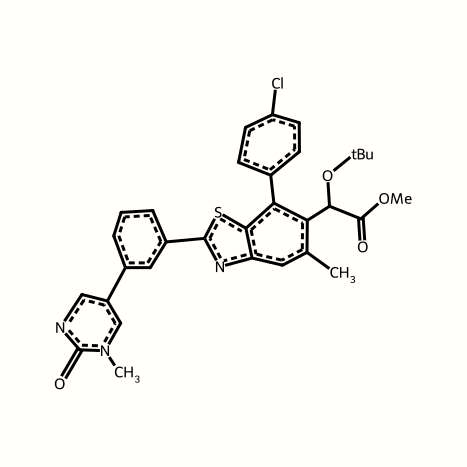 COC(=O)C(OC(C)(C)C)c1c(C)cc2nc(-c3cccc(-c4cnc(=O)n(C)c4)c3)sc2c1-c1ccc(Cl)cc1